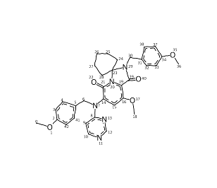 COc1ccc(CN(c2ccncn2)c2cc(OC)c3n(c2=O)C2(CCCCC2)N(Cc2ccc(OC)cc2)C3=O)cc1